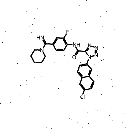 N=C(c1ccc(NC(=O)c2nnnn2-c2ccc3cc(Cl)ccc3c2)c(F)c1)N1CCCCC1